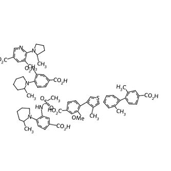 CC1CCCCN1c1ccc(C(=O)O)cc1NS(C)(=O)=O.CC1CCCCN1c1ccc(C(=O)O)cc1[N+](=O)[O-].COc1cc(C(=O)O)ccc1-c1cscc1C.Cc1cc(C(=O)O)cnc1N1CCCC1C.Cc1ccccc1-c1ccc(C(=O)O)cc1C